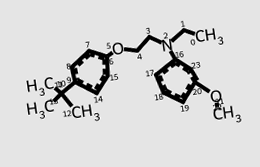 CCN(CCOc1ccc(C(C)(C)C)cc1)c1cccc(OC)c1